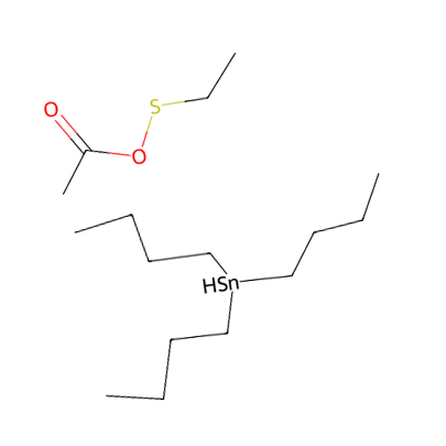 CCC[CH2][SnH]([CH2]CCC)[CH2]CCC.CCSOC(C)=O